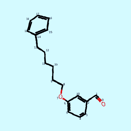 O=Cc1cccc(OCCCCCCc2ccccc2)c1